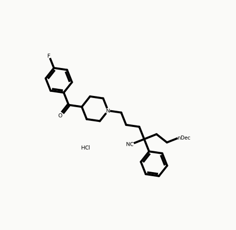 CCCCCCCCCCCCC(C#N)(CCCN1CCC(C(=O)c2ccc(F)cc2)CC1)c1ccccc1.Cl